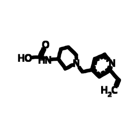 C=Cc1cc(CN2CCCC(NC(=O)O)C2)ccn1